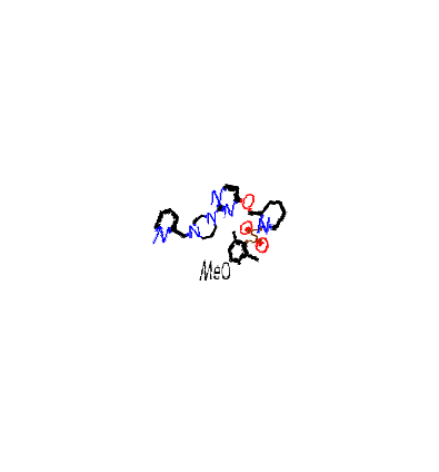 COc1cc(C)c(S(=O)(=O)N2CCCCC2COc2ccnc(N3CCCN(Cc4ccccn4)CC3)n2)c(C)c1